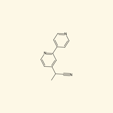 CC(C#N)c1ccnc(-c2ccncc2)c1